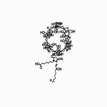 CCCCC[C@H](O)/C=C/[C@H]1[C@H](O)CC(=O)[C@@H]1CCCCCCC(=O)O.OC[C@H]1O[C@@H]2O[C@H]3[C@H](O)[C@@H](O)[C@@H](O[C@H]4[C@H](O)[C@@H](O)[C@@H](O[C@H]5[C@H](O)[C@@H](O)[C@@H](O[C@H]6[C@H](O)[C@@H](O)[C@@H](O[C@H]7[C@H](O)[C@@H](O)[C@@H](O[C@H]1[C@H](O)[C@H]2O)O[C@@H]7CO)O[C@@H]6CO)O[C@@H]5CO)O[C@@H]4CO)O[C@@H]3CO